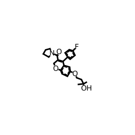 CC(C)(O)CCOc1ccc2c(c1)C(c1ccc(F)cc1)=C(C(=O)N1CCCC1)CO2